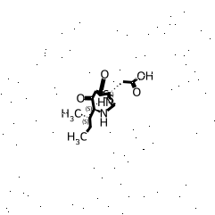 CC[C@H](C)[C@@H]1NC2N[C@@H](CC(=O)O)C(=O)C(SS2)C1=O